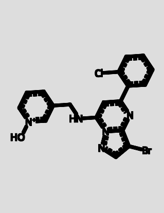 O[n+]1cccc(CNc2cc(-c3ccccc3Cl)nc3c(Br)cnn23)c1